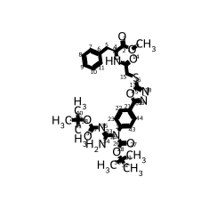 COC(=O)[C@H](Cc1ccccc1)NC(=O)CSc1nnc(-c2ccc(N(C(=O)OC(C)(C)C)C(N)=NC(=O)OC(C)(C)C)cc2)o1